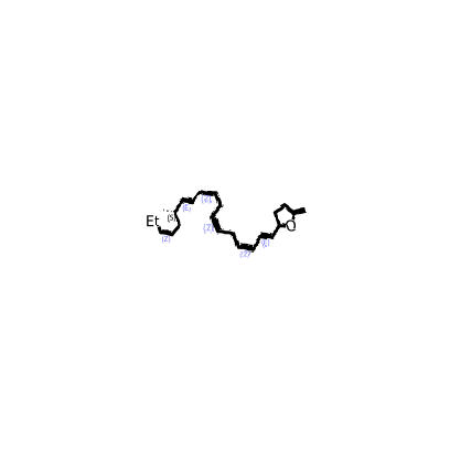 C=C1CCC(/C=C/C=C\C/C=C\C/C=C\C=C\[C@@H](C)C/C=C\CC)O1